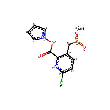 O=C(On1cccc1)c1nc(Cl)ccc1C[SH](=O)=O.[LiH]